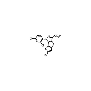 O=C(O)c1nn(-c2ccc(Cl)cc2Cl)c2c1Cc1cc(Br)sc1-2